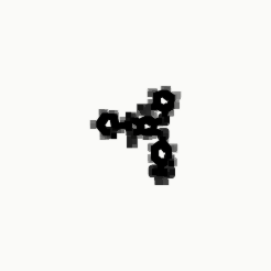 CCS(=O)(=O)c1ccc(Oc2cc3[nH]c(-c4ccccn4)nc3cc2Oc2ccccc2C#N)cn1